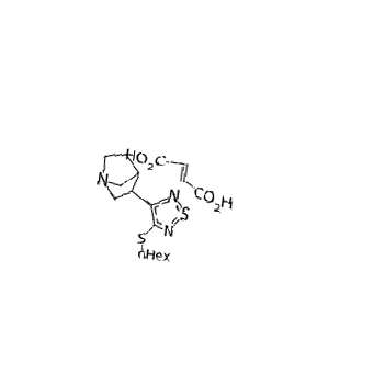 CCCCCCSc1nsnc1C1CN2CCC1C2.O=C(O)/C=C/C(=O)O